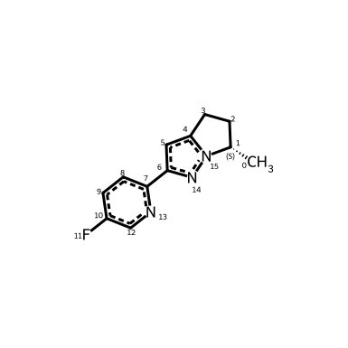 C[C@H]1CCc2cc(-c3ccc(F)cn3)nn21